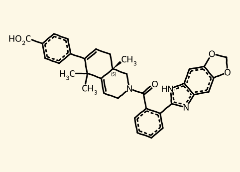 CC1(C)C(c2ccc(C(=O)O)cc2)=CC[C@]2(C)CN(C(=O)c3ccccc3-c3nc4cc5c(cc4[nH]3)OCO5)CC=C12